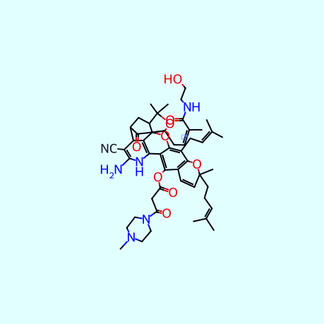 CC(C)=CCCC1(C)C=Cc2c(c(CC=C(C)C)c3c(c2OC(=O)CC(=O)N2CCN(C)CC2)C2=C4C(C(C#N)=C(N)N2)C2CC5C(C)(C)OC(C/C=C(/C)C(=O)NCCO)(C2=O)C45O3)O1